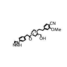 COc1cc(CCN2CCN(C(=O)Cc3ccc(-n4cn[nH]4)cc3)C[C@@H]2CO)ccc1C#N